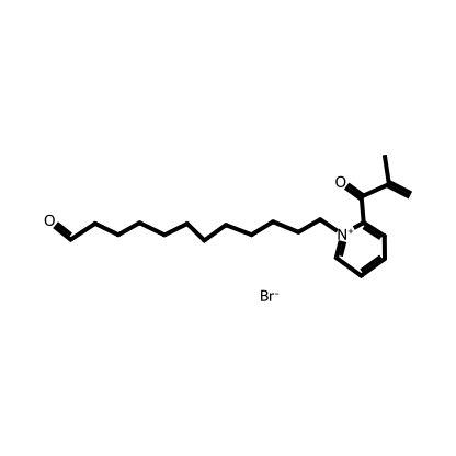 C=C(C)C(=O)c1cccc[n+]1CCCCCCCCCCCC=O.[Br-]